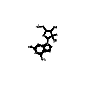 CC1(O)C(O)C(CO)OC1n1ccc2c(N)nc(Cl)cc21